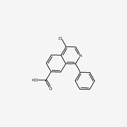 O=C(O)c1ccc2c(Cl)cnc(-c3ccccc3)c2c1